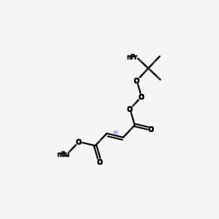 CCCCOC(=O)/C=C/C(=O)OOOC(C)(C)CCC